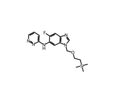 C[Si](C)(C)CCOCn1cnc2cc(F)c(Nc3cccnn3)cc21